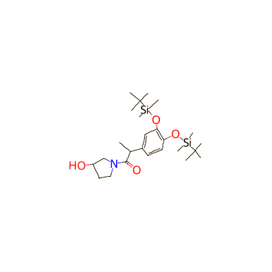 CC(C(=O)N1CCC(O)C1)c1ccc(O[Si](C)(C)C(C)(C)C)c(O[Si](C)(C)C(C)(C)C)c1